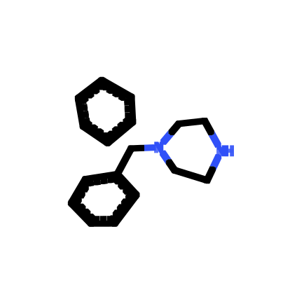 c1ccc(CN2CCNCC2)cc1.c1ccccc1